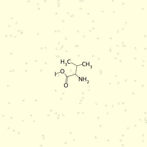 CC(C)C(N)C(=O)OI